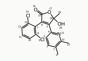 Cc1ccc(C2=C(c3c(Cl)cccc3Cl)C(=O)OC2(C)O)nc1C